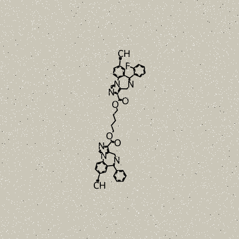 C#Cc1ccc2c(c1)C(c1ccccc1)=NCc1c(C(=O)OCCCCCOC(=O)c3ncn4c3CN=C(c3ccccc3F)c3cc(C#C)ccc3-4)ncn1-2